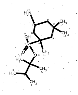 CC(C)C(C)(C)OP(=O)(O)C1(C)CC(N)CC(C)(C)C1